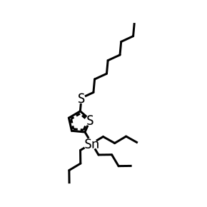 CCCCCCCCSc1cc[c]([Sn]([CH2]CCC)([CH2]CCC)[CH2]CCC)s1